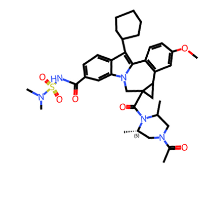 COc1ccc2c(c1)C1CC1(C(=O)N1C(C)CN(C(C)=O)C[C@@H]1C)Cn1c-2c(C2CCCCC2)c2ccc(C(=O)NS(=O)(=O)N(C)C)cc21